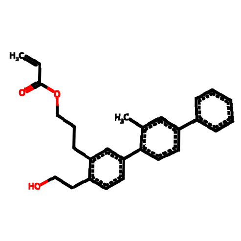 C=CC(=O)OCCCc1cc(-c2ccc(-c3ccccc3)cc2C)ccc1CCO